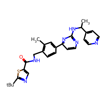 Cc1cc(-c2ccnc(NC(C)c3ccncc3)n2)ccc1CNC(=O)c1cnc(C(C)(C)C)s1